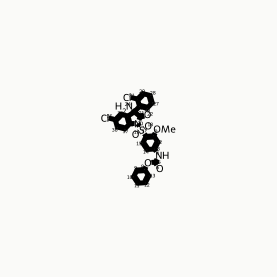 COc1cc(NC(=O)Oc2ccccc2)ccc1S(=O)(=O)N1C(=O)C(N)(c2ccccc2Cl)c2cc(Cl)ccc21